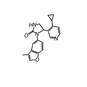 Cc1coc2ccc(N3C(=O)NCC3c3cnccc3C3CC3)cc12